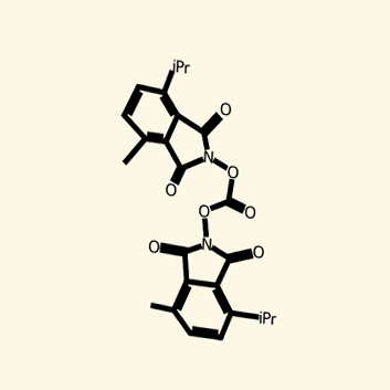 Cc1ccc(C(C)C)c2c1C(=O)N(OC(=O)ON1C(=O)c3c(C)ccc(C(C)C)c3C1=O)C2=O